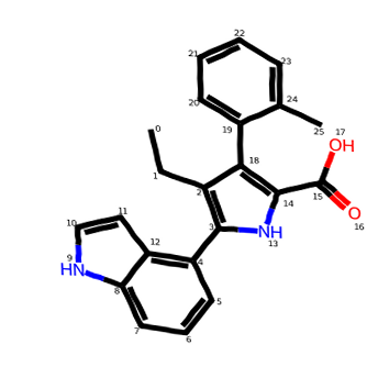 CCc1c(-c2cccc3[nH]ccc23)[nH]c(C(=O)O)c1-c1ccccc1C